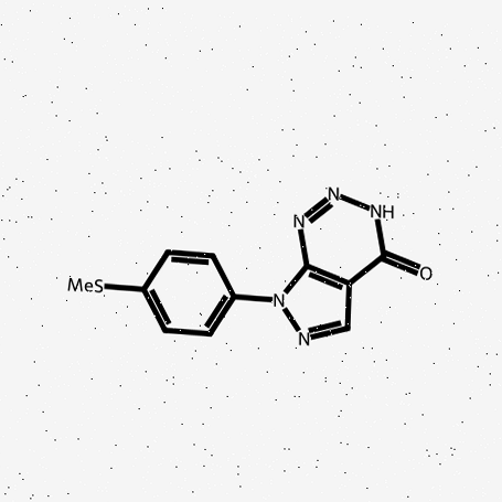 CSc1ccc(-n2ncc3c(=O)[nH]nnc32)cc1